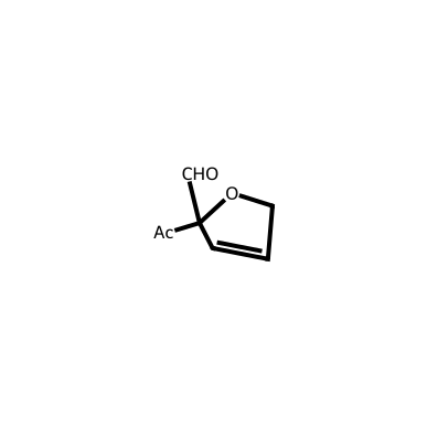 CC(=O)C1(C=O)C=CCO1